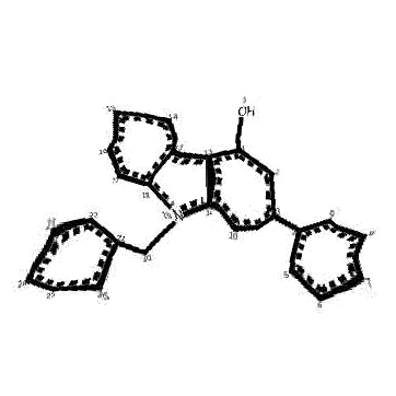 Oc1cc(-c2ccccc2)cc2c1c1ccccc1n2Cc1ccccc1